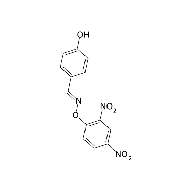 O=[N+]([O-])c1ccc(ON=Cc2ccc(O)cc2)c([N+](=O)[O-])c1